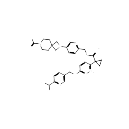 CC(=O)N1CCC2(CC1)CN(c1ccc(CNC(=O)C3(c4ccc(OCc5ccc(C(F)F)nc5)nn4)CC3)nc1)C2